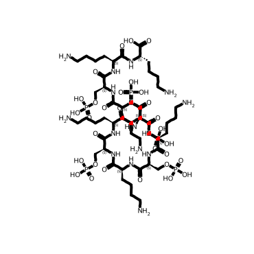 NCCCC[C@H](NC(=O)[C@H](CCCCN)NC(=O)[C@H](COP(=O)(O)O)NC(=O)[C@H](CCCCN)NC(=O)[C@H](COP(=O)(O)O)NC(=O)[C@H](CCCCN)NC(=O)[C@H](COP(=O)(O)O)NC(=O)[C@H](CCCCN)NC(=O)[C@H](COP(=O)(O)O)NC(=O)[C@H](CCCCN)NC(=O)[C@@H](N)COP(=O)(O)O)C(=O)O